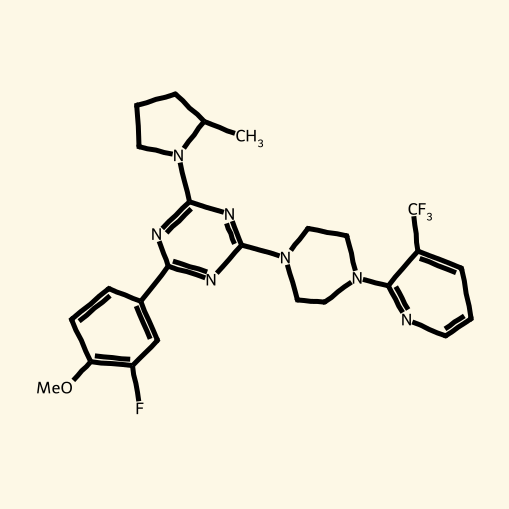 COc1ccc(-c2nc(N3CCN(c4ncccc4C(F)(F)F)CC3)nc(N3CCCC3C)n2)cc1F